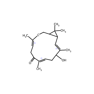 C/C1=C\CC(=O)/C(C)=C/CC(O)/C(C)=C/C2C(CC1)C2(C)C